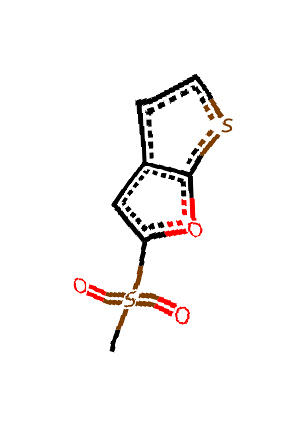 CS(=O)(=O)c1cc2ccsc2o1